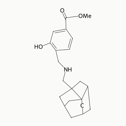 COC(=O)c1ccc(CNCC23CC4CC5CC(C2)C3(C5)C4)c(O)c1